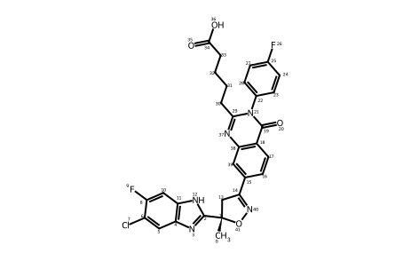 C[C@@]1(c2nc3cc(Cl)c(F)cc3[nH]2)CC(c2ccc3c(=O)n(-c4ccc(F)cc4)c(CCCCC(=O)O)nc3c2)=NO1